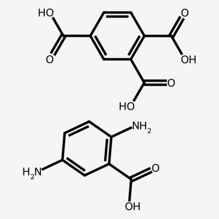 Nc1ccc(N)c(C(=O)O)c1.O=C(O)c1ccc(C(=O)O)c(C(=O)O)c1